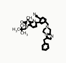 Cn1c(=O)n(CC(C)(C)C)c2ccc(-c3cc(CN4CCn5c(Cc6ccccc6)cnc5C4)ccc3C#N)nc21